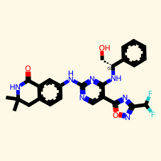 CC1(C)Cc2ccc(Nc3ncc(-c4nc(C(F)F)no4)c(N[C@H](CO)c4ccccc4)n3)cc2C(=O)N1